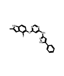 Cc1cc2c(F)c(Oc3cc(Nc4cc(-c5ccccc5)[nH]n4)ncn3)ccc2[nH]1